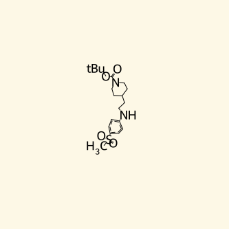 CC(C)(C)OC(=O)N1CCC(CCNc2ccc(S(C)(=O)=O)cc2)CC1